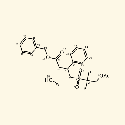 CC(=O)OCC(C)(C)S(=O)(=O)CC(CC(=O)OCc1ccccc1)c1ccccc1.CO